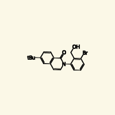 CC(C)(C)c1ccc2c(=O)n(-c3cccc(Br)c3CO)ccc2c1